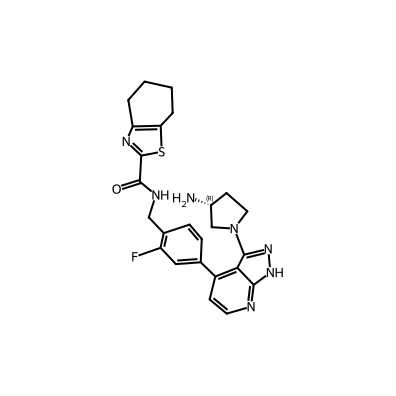 N[C@@H]1CCN(c2n[nH]c3nccc(-c4ccc(CNC(=O)c5nc6c(s5)CCCC6)c(F)c4)c23)C1